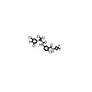 O=C(NC1CC(F)(F)C1)c1cc(NC(=O)[C@H]2[C@H](c3cc(Cl)c(F)c(Cl)c3)C2(Cl)Cl)ccc1Cl